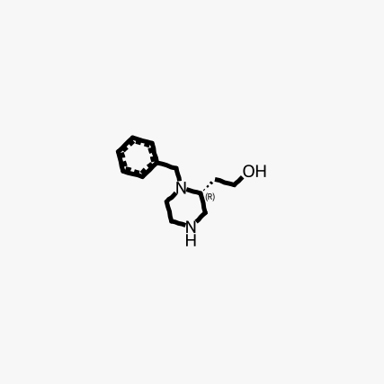 OCC[C@@H]1CNCCN1Cc1ccccc1